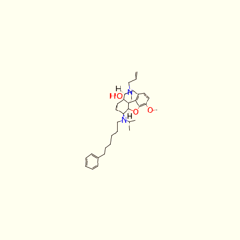 C=CCN1CC[C@]23c4c5ccc(OC)c4O[C@H]2[C@@H](N(CCCCCCc2ccccc2)C(C)C)CC[C@@]3(O)[C@H]1C5